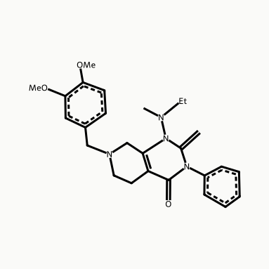 C=C1N(c2ccccc2)C(=O)C2=C(CN(Cc3ccc(OC)c(OC)c3)CC2)N1N(C)CC